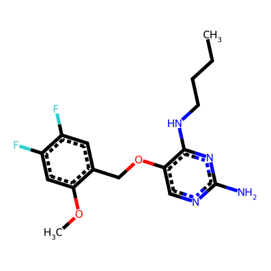 CCCCNc1nc(N)ncc1OCc1cc(F)c(F)cc1OC